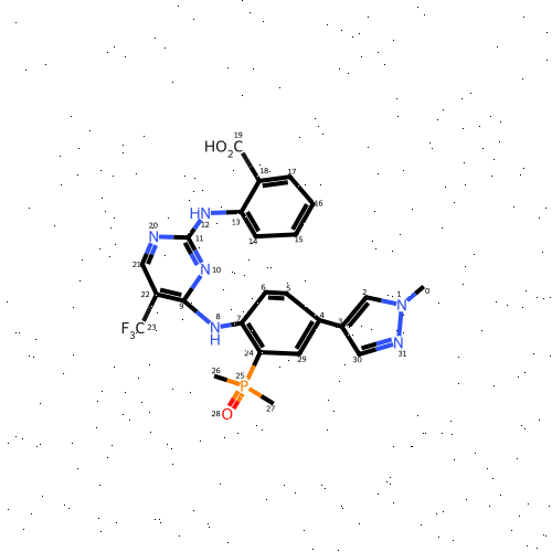 Cn1cc(-c2ccc(Nc3nc(Nc4ccccc4C(=O)O)ncc3C(F)(F)F)c(P(C)(C)=O)c2)cn1